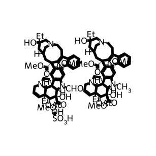 CC[C@]1(O)C[C@H]2CN(CCc3c([nH]c4ccccc34)[C@@](C(=O)OC)(c3cc4c(cc3OC)N(C=O)[C@H]3[C@@](O)(C(=O)OC)[C@H](OC(C)=O)[C@]5(CC)C=CCN6CC[C@]43[C@@H]65)C2)C1.CC[C@]1(O)C[C@H]2C[N@](CCc3c([nH]c4ccccc34)[C@@](C(=O)OC)(c3cc4c(cc3OC)N(C)[C@H]3[C@@](O)(C(=O)OC)[C@H](OC(C)=O)[C@]5(CC)C=CCN6CC[C@]43[C@@H]65)C2)C1.O=S(=O)(O)O